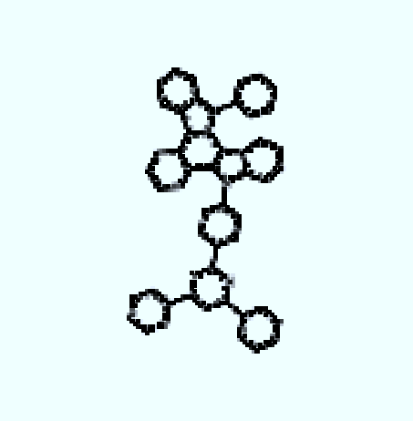 c1ccc(-c2cc(-c3ccccc3)nc(-c3ccc(-n4c5ccccc5c5c4c4ccccc4c4c6ccccc6n(-c6ccccc6)c45)cc3)n2)cc1